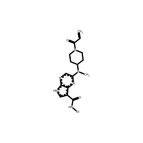 C=CC(=O)N1CCC(N(C)c2cnc3[nH]cc(C(=O)NCC)c3n2)CC1